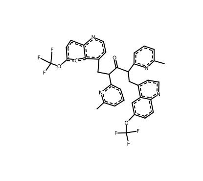 Cc1cccc(C(Cc2ccnc3ccc(OC(F)(F)F)cc23)C(=O)C(Cc2ccnc3ccc(OC(F)(F)F)cc23)c2cccc(C)n2)n1